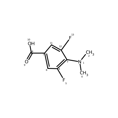 CN(C)c1c(F)cc(C(=O)O)cc1F